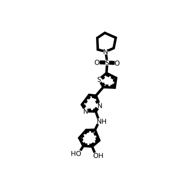 O=S(=O)(c1ccc(-c2ccnc(Nc3ccc(O)c(O)c3)n2)s1)N1CCCCC1